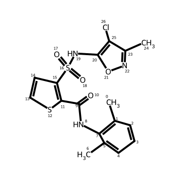 Cc1cccc(C)c1NC(=O)c1sccc1S(=O)(=O)Nc1onc(C)c1Cl